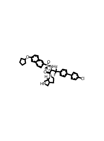 O=C([C@@H](NS(=O)(=O)c1ccc2cc(OC3CCCC3)ccc2c1)C(F)(F)c1ccc(-c2ccc(Cl)cc2)cc1)N1CCC2CNC[C@@H]21